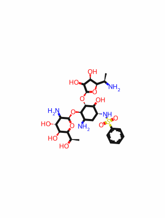 C[C@@H](O)C1O[C@H](O[C@@H]2C(N)C[C@@H](NS(=O)(=O)c3ccccc3)C(O)[C@H]2O[C@@H]2O[C@H]([C@@H](C)N)[C@H](O)C2O)C(N)[C@@H](O)[C@@H]1O